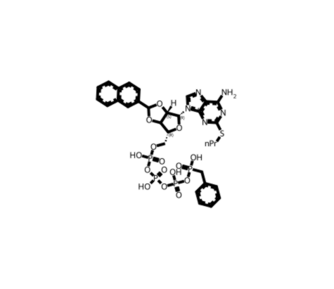 CCCSc1nc(N)c2ncn([C@@H]3O[C@H](COP(=O)(O)OP(=O)(O)OP(=O)(O)OP(=O)(O)Cc4ccccc4)C4OC(c5ccc6ccccc6c5)O[C@@H]43)c2n1